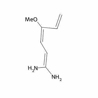 C=C/C(=C\C=C(N)N)OC